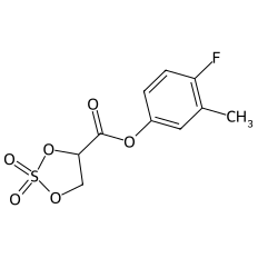 Cc1cc(OC(=O)C2COS(=O)(=O)O2)ccc1F